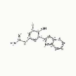 NC(=S)Nc1cc(Cl)c(O)c(-c2nc3ccccc3s2)c1